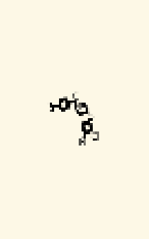 CC(C)c1ccc(C(=O)N2CCC(Oc3ccc(C#N)c(Cl)c3)CC2)cc1